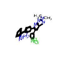 CN(C)c1ncc2cc(-c3ccccc3)c(-c3ccc(C4(N)CCC4)cc3)nc2n1.Cl.Cl